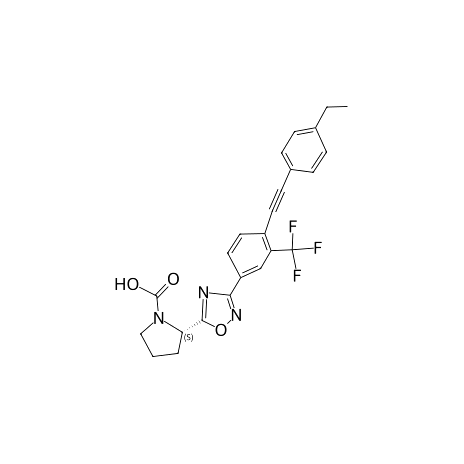 CCc1ccc(C#Cc2ccc(-c3noc([C@@H]4CCCN4C(=O)O)n3)cc2C(F)(F)F)cc1